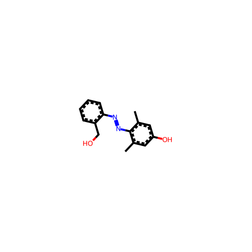 Cc1cc(O)cc(C)c1/N=N/c1ccccc1CO